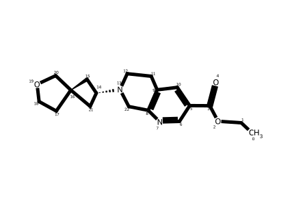 CCOC(=O)c1cnc2c(c1)CCN([C@H]1C[C@]3(CCOC3)C1)C2